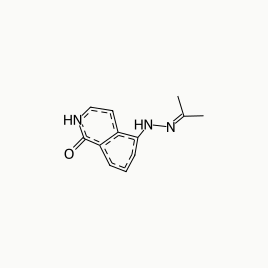 CC(C)=NNc1cccc2c(=O)[nH]ccc12